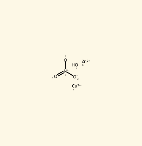 O=[N+]([O-])[O-].[Cu+2].[OH-].[Zn+2]